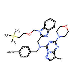 CCc1cnn2c(N(Cc3ccc(OC)cc3)Cc3nc4ccccc4n3COCCS(C)(C)C)nc(N3CCOCC3)nc12